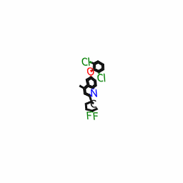 Cc1cc(C2CCC(F)(F)CC2)nc2ccc(Oc3c(Cl)cccc3Cl)cc12